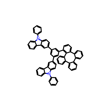 c1ccc(-n2c3ccccc3c3cc(-c4cc(-c5ccc6c(c5)c5ccccc5n6-c5ccccc5)cc(-c5cccc6c5-c5ccccc5-c5ccccc5-c5ccccc5-6)c4)ccc32)cc1